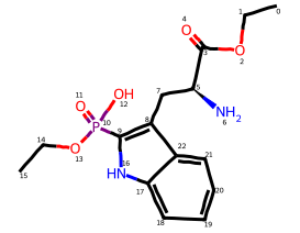 CCOC(=O)[C@@H](N)Cc1c(P(=O)(O)OCC)[nH]c2ccccc12